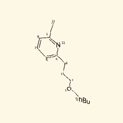 CCCCOCCCc1cccc(C)n1